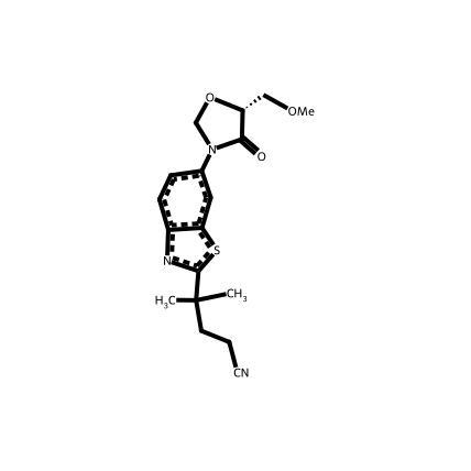 COC[C@H]1OCN(c2ccc3nc(C(C)(C)CCC#N)sc3c2)C1=O